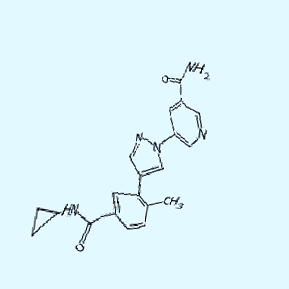 Cc1ccc(C(=O)NC2CC2)cc1-c1cnn(-c2cncc(C(N)=O)c2)c1